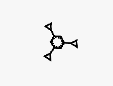 c1c(C2CC2)cc(C2CC2)cc1C1CC1